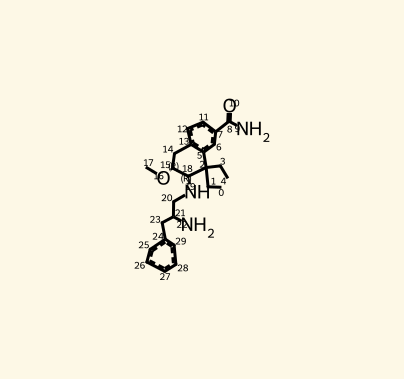 CCC1(CC)c2cc(C(N)=O)ccc2C[C@@H](OC)[C@@H]1NCC(N)Cc1ccccc1